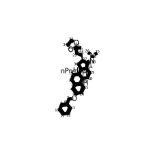 CCC[C@@H]1Cc2cc(OCc3ccccc3)ccc2[C@H]2CC[C@]3(C)C(=NN(C)C)[C@H](CCC4(C)OCCO4)C[C@H]3[C@H]12